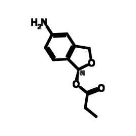 CCC(=O)O[C@@H]1OCc2cc(N)ccc21